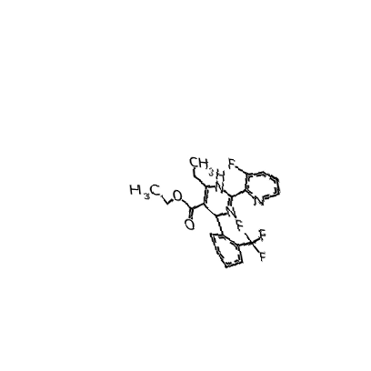 CCOC(=O)C1=C(CC)NC(c2ncccc2F)=NC1c1ccccc1C(F)(F)F